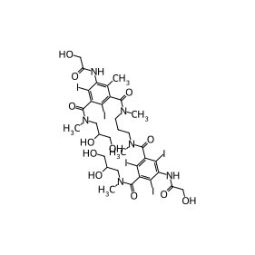 Cc1c(NC(=O)CO)c(I)c(C(=O)N(C)CC(O)CO)c(I)c1C(=O)N(C)CCCN(C)C(=O)c1c(I)c(NC(=O)CO)c(I)c(C(=O)N(C)CC(O)CO)c1I